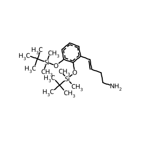 CC(C)(C)[Si](C)(C)Oc1cccc(C=CCCN)c1O[Si](C)(C)C(C)(C)C